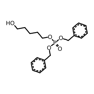 O=P(OCCCCCO)(OCc1ccccc1)OCc1ccccc1